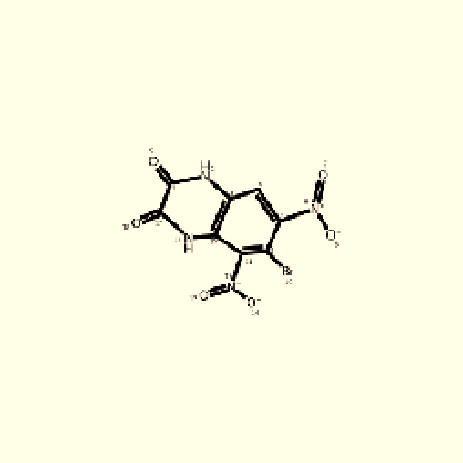 O=c1[nH]c2cc([N+](=O)[O-])c(Br)c([N+](=O)[O-])c2[nH]c1=O